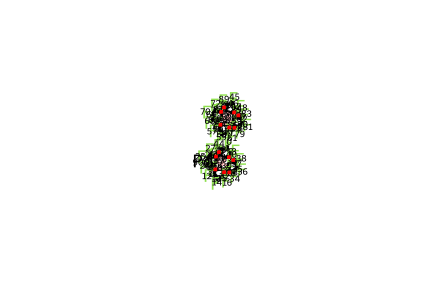 Fc1c(F)c(F)c([B-](c2c(F)c(F)c(F)c(F)c2F)(c2c(F)c(F)c(F)c(F)c2F)c2c(F)c(F)c(F)c(F)c2F)c(F)c1F.Fc1c(F)c(F)c([B-](c2c(F)c(F)c(F)c(F)c2F)(c2c(F)c(F)c(F)c(F)c2F)c2c(F)c(F)c(F)c(F)c2F)c(F)c1F.[Pd+2]